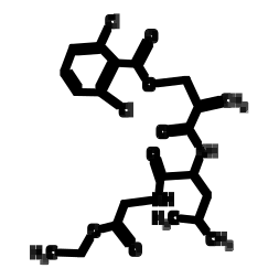 C=C(COC(=O)c1c(Cl)cccc1Cl)C(=O)NC(CC(C)C)C(=O)NCC(=O)OCC